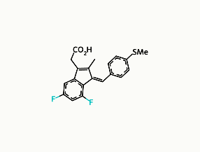 CSc1ccc(C=C2C(C)=C(CC(=O)O)c3cc(F)cc(F)c32)cc1